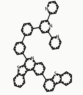 c1ccc(-c2cc(-c3cccc(-c4cccc(-c5nc6ccc(-c7cccc8c7sc7ccccc78)cc6c6c5sc5ccccc56)c4)c3)cc(-c3ccccn3)n2)nc1